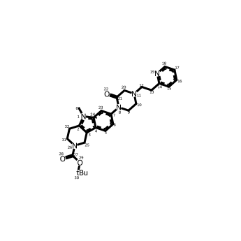 Cn1c2c(c3ccc(N4CCN(CCc5ccccn5)CC4=O)cc31)CN(C(=O)OC(C)(C)C)CC2